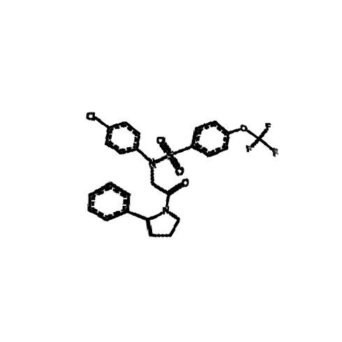 O=C(CN(c1ccc(Cl)cc1)S(=O)(=O)c1ccc(OC(F)(F)F)cc1)N1CCCC1c1ccccc1